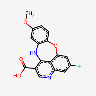 COc1ccc2c(c1)Nc1c(C(=O)O)cnc3cc(F)cc(c13)O2